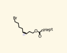 CCCCCCCC(=O)OCC/C=C\CCCCBr